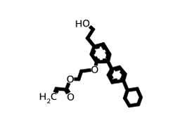 C=CC(=O)OCCOc1cc(CCO)ccc1-c1ccc(C2CCCCC2)cc1